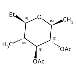 CC[C@H]1O[C@@H](C)[C@H](OC(C)=O)[C@@H](OC(C)=O)[C@@H]1C